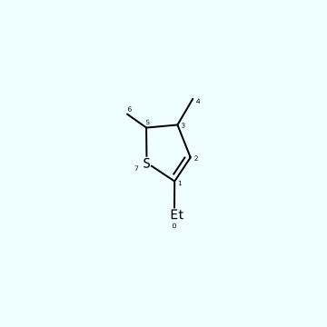 CCC1=CC(C)C(C)S1